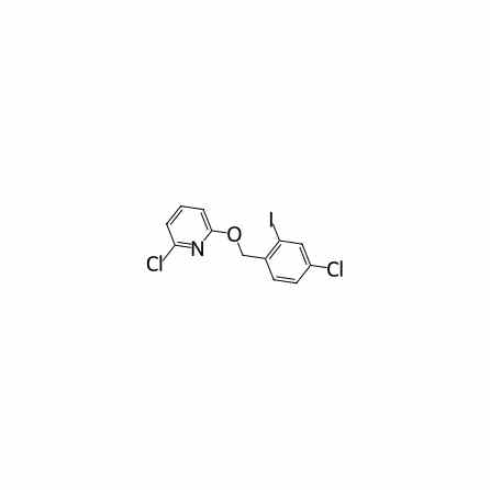 Clc1ccc(COc2cccc(Cl)n2)c(I)c1